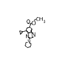 CCOC(=O)c1cc(C2CC2)c2nc(N3CCCCC3)cnc2c1